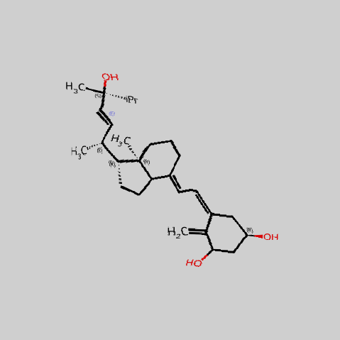 C=C1C(=CC=C2CCC[C@@]3(C)C2CC[C@@H]3[C@H](C)/C=C/[C@@](C)(O)C(C)C)C[C@@H](O)CC1O